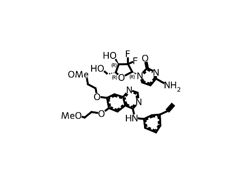 C#Cc1cccc(Nc2ncnc3cc(OCCOC)c(OCCOC)cc23)c1.Nc1ccn([C@@H]2O[C@H](CO)[C@@H](O)C2(F)F)c(=O)n1